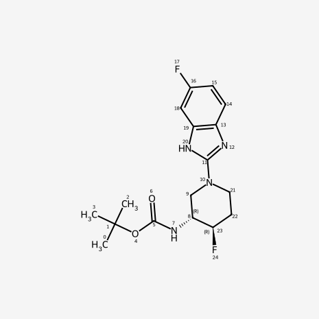 CC(C)(C)OC(=O)N[C@@H]1CN(c2nc3ccc(F)cc3[nH]2)CC[C@H]1F